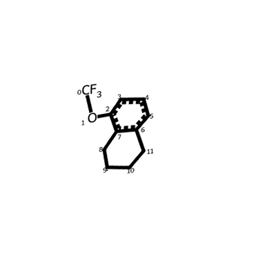 FC(F)(F)Oc1cccc2c1C[CH]CC2